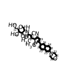 C/C(=C(/C#N)C(=O)N[C@H]1CO[C@H](CO)[C@@H](O)[C@@H]1O)c1ccc(-c2ccc3cc(N4CCOCC4)ccc3c2)n1C